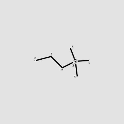 [CH2]CC[Si](C)(C)C